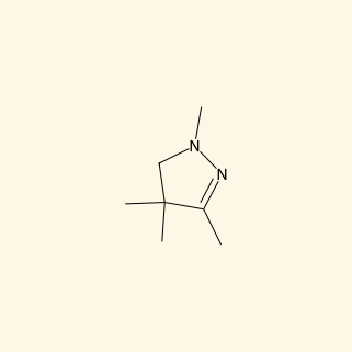 CC1=NN(C)CC1(C)C